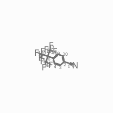 N#Cc1ccc(C(C(F)(F)F)(C(F)(F)F)C(F)(F)F)cc1